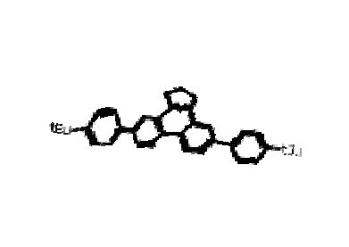 CC(C)(C)c1ccc(-c2ccc3c(c2)C24CCCC2(CCC4)c2cc(-c4ccc(C(C)(C)C)cc4)ccc2-3)cc1